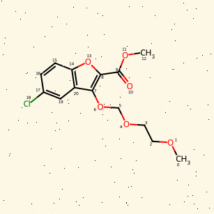 COCCOCOc1c(C(=O)OC)oc2ccc(Cl)cc12